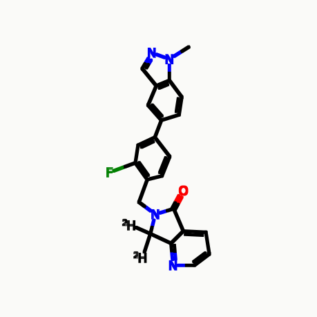 [2H]C1([2H])c2ncccc2C(=O)N1Cc1ccc(-c2ccc3c(cnn3C)c2)cc1F